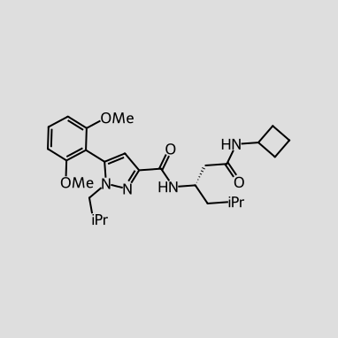 COc1cccc(OC)c1-c1cc(C(=O)N[C@H](CC(=O)NC2CCC2)CC(C)C)nn1CC(C)C